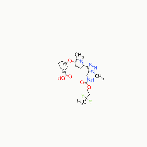 Cc1nc(-c2nnn(C)c2CNC(=O)OCCC(C)(F)F)ccc1O[C@H]1CCC[C@H](C(=O)O)C1